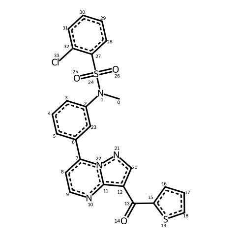 CN(c1cccc(-c2ccnc3c(C(=O)c4cccs4)cnn23)c1)S(=O)(=O)c1ccccc1Cl